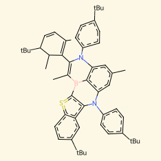 CC1=C(C2=C(C)B3c4sc5ccc(C(C)(C)C)cc5c4N(c4ccc(C(C)(C)C)cc4)c4cc(C)cc(c43)N2c2ccc(C(C)(C)C)cc2)C(C)C(C(C)(C)C)C=C1